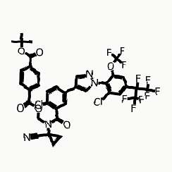 CC(C)(C)OC(=O)c1ccc(C(=O)OCN(C(=O)c2cc(-c3cnn(-c4c(Cl)cc(C(F)(C(F)(F)F)C(F)(F)F)cc4OC(F)(F)F)c3)ccc2Cl)C2(C#N)CC2)cc1